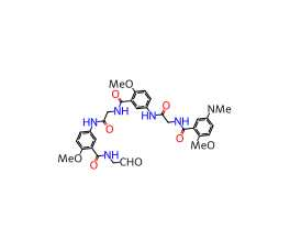 CNc1ccc(OC)c(C(=O)NCC(=O)Nc2ccc(OC)c(C(=O)NCC(=O)Nc3ccc(OC)c(C(=O)NCC=O)c3)c2)c1